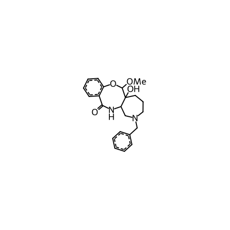 COC1Oc2ccccc2C(=O)NC2CN(Cc3ccccc3)CCCC21O